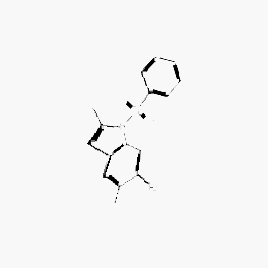 O=S(=O)(c1ccccc1)n1c(I)cc2cc(F)c(Br)cc21